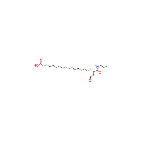 CCCN(C)C(=O)C(CC=O)SCCCCCCCCCCCCCCCC(=O)O